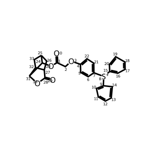 O=C(COc1ccc([S+](c2ccccc2)c2ccccc2)cc1)OC1C2CC3C(=O)OC1C3C2